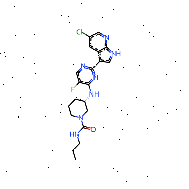 CCCNC(=O)N1CCC[C@H](Nc2nc(-c3c[nH]c4ncc(Cl)cc34)ncc2F)C1